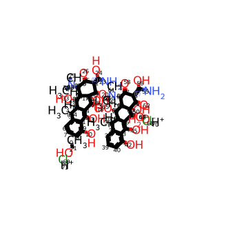 CCO.C[C@H]1c2cccc(O)c2C(O)=C2C(=O)[C@]3(O)C(=O)/C(=C(\N)O)C(=O)[C@@H](N(C)C)[C@@H]3[C@@H](O)[C@@H]21.C[C@H]1c2cccc(O)c2C(O)=C2C(=O)[C@]3(O)C(=O)/C(=C(\N)O)C(=O)[C@@H](N(C)C)[C@@H]3[C@@H](O)[C@@H]21.O.[Cl-].[Cl-].[H+].[H+]